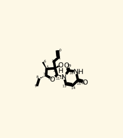 C=CC[C@@]1(O)[C@H](C)[C@@H](CC)O[C@H]1n1ccc(=O)[nH]c1=O